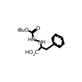 CC(C)COC(=O)NNC(Cc1ccccc1)C(=O)O